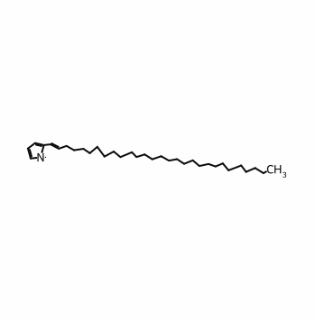 CCCCCCCCCCCCCCCCCCCCCCCCCCCC=CC1=CC=C[N]1